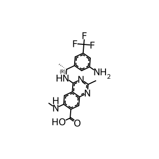 CNc1cc2c(N[C@H](C)c3cc(N)cc(C(F)(F)F)c3)nc(C)nc2cc1C(=O)O